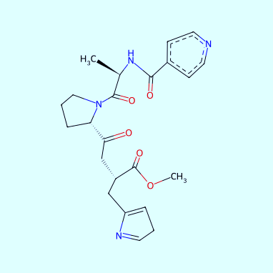 COC(=O)[C@@H](CC(=O)[C@@H]1CCCN1C(=O)[C@@H](C)NC(=O)c1ccncc1)CC1=CCC=N1